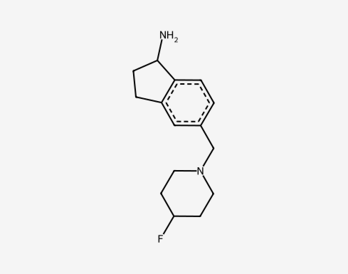 NC1CCc2cc(CN3CCC(F)CC3)ccc21